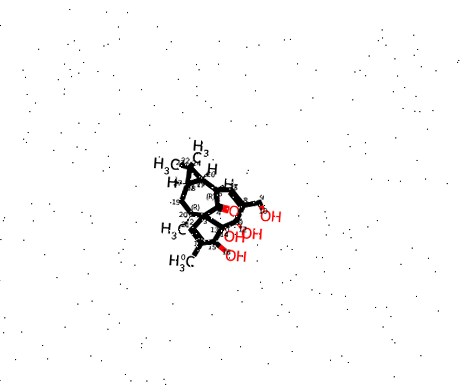 CC1=CC23C(=O)[C@@H](C=C(CO)[C@@H](O)[C@]2(O)C1O)[C@H]1[C@@H](C[C@H]3C)C1(C)C